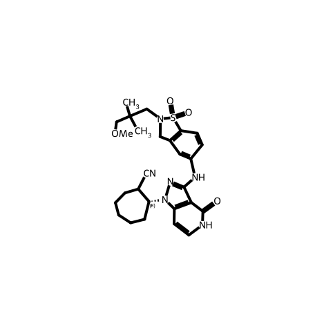 COCC(C)(C)CN1Cc2cc(Nc3nn([C@@H]4CCCCCC4C#N)c4cc[nH]c(=O)c34)ccc2S1(=O)=O